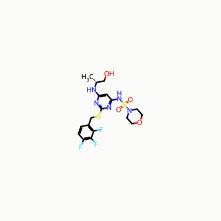 C[C@H](CO)Nc1cc(NS(=O)(=O)N2CCOCC2)nc(SCc2ccc(F)c(F)c2F)n1